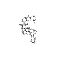 CC(=CC1CC1)C(=O)N1CCCC(NC(=O)c2sc3nccc4c3c2NC(=O)N4c2ccc(Oc3ccccc3)cc2C)C1